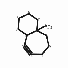 BC12CCCC#CC1CCCC2